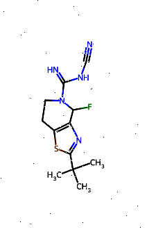 CC(C)(C)c1nc2c(s1)CCN(C(=N)NC#N)C2F